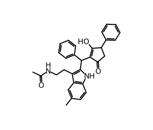 CC(=O)NCCc1c(C(C2=C(O)C(c3ccccc3)CC2=O)c2ccccc2)[nH]c2ccc(C)cc12